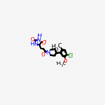 COc1cc(C2CCN(C(=O)CCC3NC(=O)NC3=O)CC2)c(C)cc1Cl